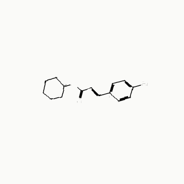 O=C(/C=C/c1ccc(Br)cc1)OC1CCCCC1